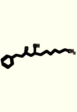 CCCCCCCC(O)CC(=O)CCc1ccccc1